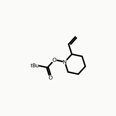 C=CC1CCCCN1OC(=O)C(C)(C)C